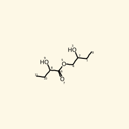 CCC(O)COC(=O)C(O)CC